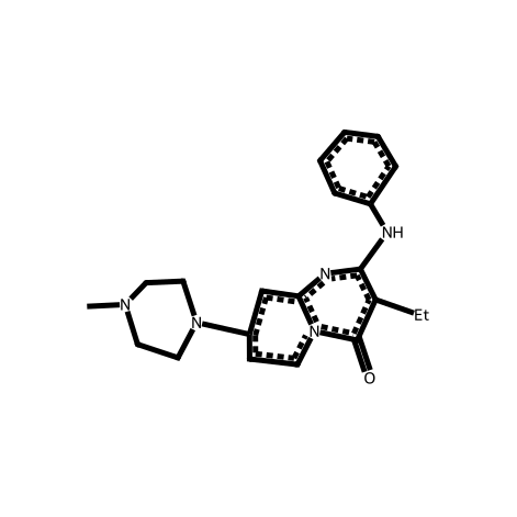 CCc1c(Nc2ccccc2)nc2cc(N3CCN(C)CC3)ccn2c1=O